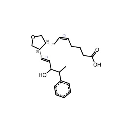 CC(c1ccccc1)C(O)/C=C/[C@@H]1COC[C@@H]1C/C=C\CCCC(=O)O